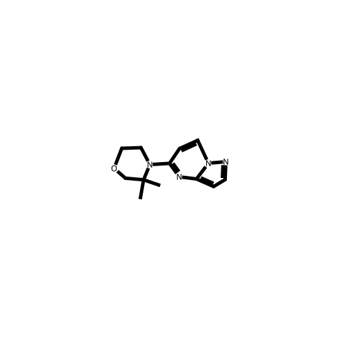 CC1(C)COCCN1c1ccn2nccc2n1